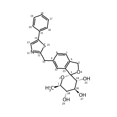 C[C@H]1O[C@]2(OCc3ccc(Cc4ncc(-c5ccccc5)s4)cc32)[C@H](O)[C@@H](O)[C@@H]1O